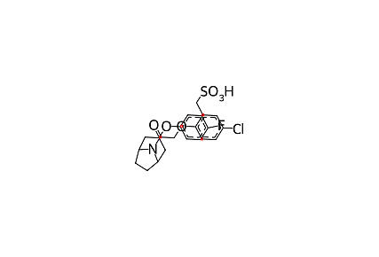 O=C(COc1ccc(Cl)cc1CS(=O)(=O)O)N1C2CCC1CC(Oc1ccc(F)cc1)C2